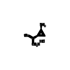 CC(C)(C)N(C(=O)O)[C@@H]1C[C@H]1N.Cl